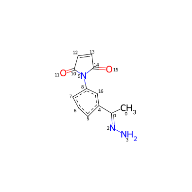 C/C(=N\N)c1cccc(N2C(=O)C=CC2=O)c1